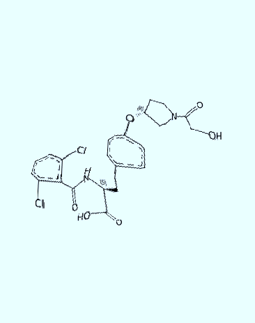 O=C(N[C@@H](Cc1ccc(O[C@@H]2CCN(C(=O)CO)C2)cc1)C(=O)O)c1c(Cl)cccc1Cl